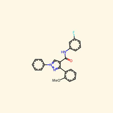 COc1ccccc1-c1nn(-c2ccccc2)cc1C(=O)Nc1cccc(F)c1